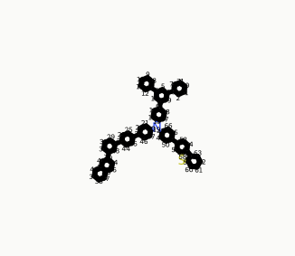 c1ccc(-c2cc(-c3ccccc3)cc(-c3ccc(N(c4ccc(-c5ccc(-c6cccc(-c7ccc8ccccc8c7)c6)cc5)cc4)c4ccc(-c5ccc6c(c5)sc5ccccc56)cc4)cc3)c2)cc1